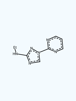 CCNc1ncn(-c2ncccn2)n1